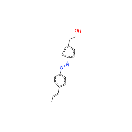 CC=Cc1ccc(N=Nc2ccc(CCO)cc2)cc1